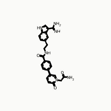 N=C(N)c1c[nH]c2ccc(CCNC(=O)c3ccc(-c4ccc(=O)n(CC(N)=O)c4)cc3)cc12